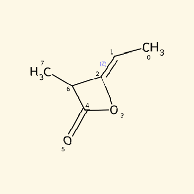 C/C=C1\OC(=O)C1C